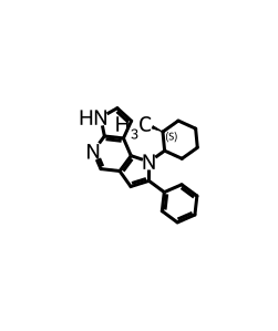 C[C@H]1CCCCC1n1c(-c2ccccc2)cc2cnc3[nH]ccc3c21